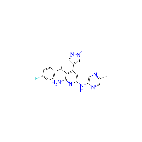 Cc1cnc(Nc2cc(-c3cnn(C)c3)c(C(C)c3ccc(F)cc3)c(N)n2)cn1